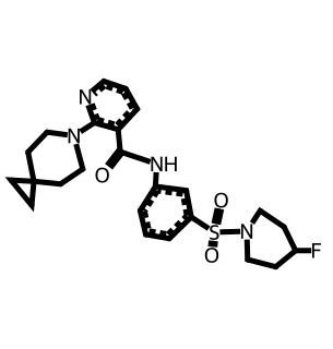 O=C(Nc1cccc(S(=O)(=O)N2CCC(F)CC2)c1)c1cccnc1N1CCC2(CC1)CC2